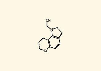 N#CCN1CCc2ccc3c(c21)CCCO3